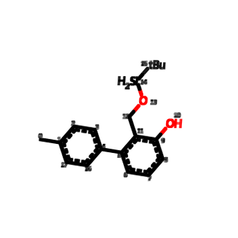 Cc1ccc(-c2cccc(O)c2CO[SiH2]C(C)(C)C)cc1